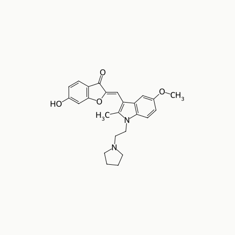 COc1ccc2c(c1)c(/C=C1\Oc3cc(O)ccc3C1=O)c(C)n2CCN1CCCC1